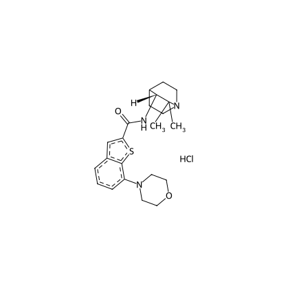 CC1(C)[C@H](NC(=O)c2cc3cccc(N4CCOCC4)c3s2)C2CCN1CC2.Cl